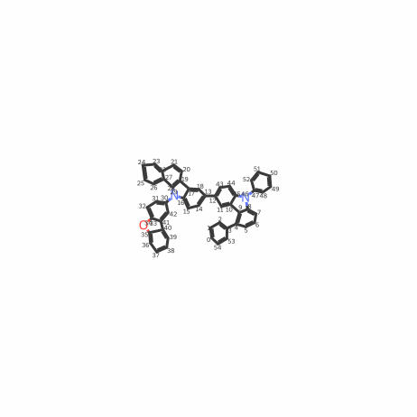 c1ccc(-c2cccc3c2c2cc(-c4ccc5c(c4)c4ccc6ccccc6c4n5-c4ccc5oc6ccccc6c5c4)ccc2n3-c2ccccc2)cc1